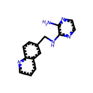 Nc1nccnc1NCc1ccc2ncccc2c1